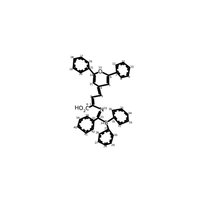 O=C(O)C(=CC=C1C=C(c2ccccc2)OC(c2ccccc2)=C1)N=C(B(c1ccccc1)c1ccccc1)c1ccccc1